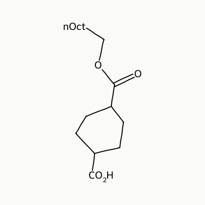 CCCCCCCCCOC(=O)C1CCC(C(=O)O)CC1